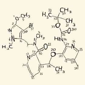 COc1nn(C)c(CN(C)C(=O)c2ncccc2C(C)Oc2cc(I)cnc2NC(=O)OC(C)(C)C)c1Br